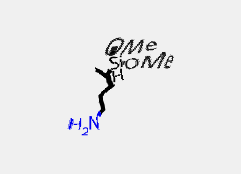 CO[SiH](OC)C(C)CCCN